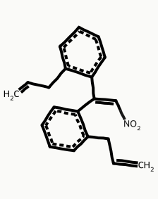 C=CCc1ccccc1C(=C[N+](=O)[O-])c1ccccc1CC=C